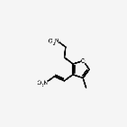 Cc1coc(CC[N+](=O)[O-])c1C=C[N+](=O)[O-]